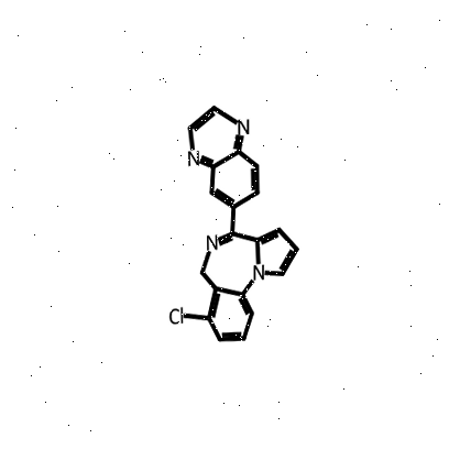 Clc1cccc2c1CN=C(c1ccc3nccnc3c1)c1cccn1-2